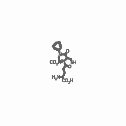 NC(CCC(=O)NC(CS)C(=O)N(CC(=O)O)c1ccccc1)C(=O)O